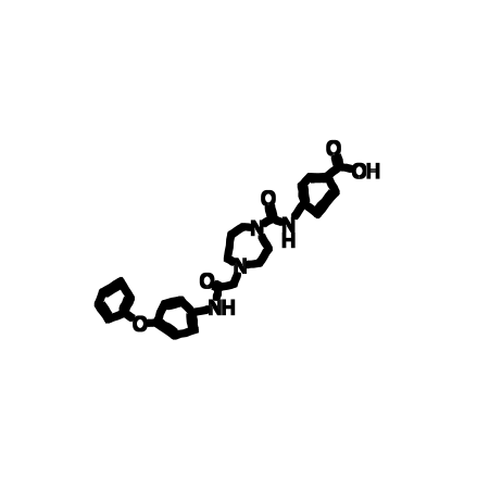 O=C(CN1CCCN(C(=O)Nc2ccc(C(=O)O)cc2)CC1)Nc1ccc(Oc2ccccc2)cc1